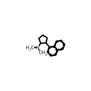 CN(C)C1CCCC1c1cccc2ccccc12